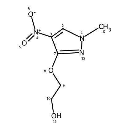 Cn1cc([N+](=O)[O-])c(OCCO)n1